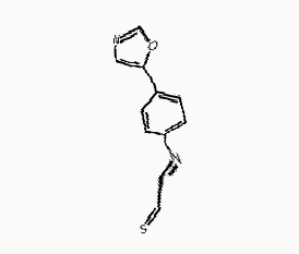 S=CC=Nc1ccc(-c2cnco2)cc1